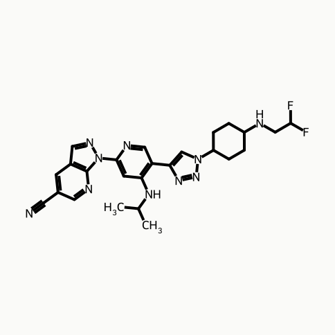 CC(C)Nc1cc(-n2ncc3cc(C#N)cnc32)ncc1-c1cn(C2CCC(NCC(F)F)CC2)nn1